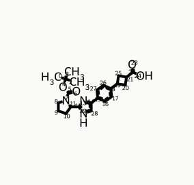 CC(C)(C)OC(=O)N1CCCC1c1nc(-c2ccc(C3CC(C(=O)O)C3)cc2)c[nH]1